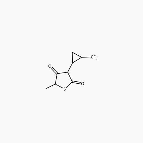 CC1SC(=O)C(C2CC2C(F)(F)F)C1=O